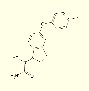 Cc1ccc(Oc2ccc3c(c2)CCC3N(O)C(N)=O)cc1